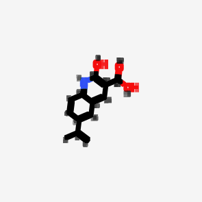 C=C(C)c1ccc2nc(O)c(C(=O)O)cc2c1